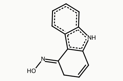 ON=C1CC=Cc2[nH]c3ccccc3c21